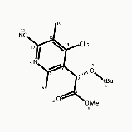 COC(=O)[C@@H](OC(C)(C)C)c1c(C)nc(C#N)c(C)c1Cl